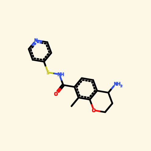 Cc1c(C(=O)NSc2ccncc2)ccc2c1OCCC2N